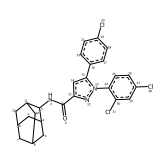 O=C(NC1C2CC3CC(C2)CC1C3)c1cc(-c2ccc(Cl)cc2)n(-c2ccc(Cl)cc2Cl)n1